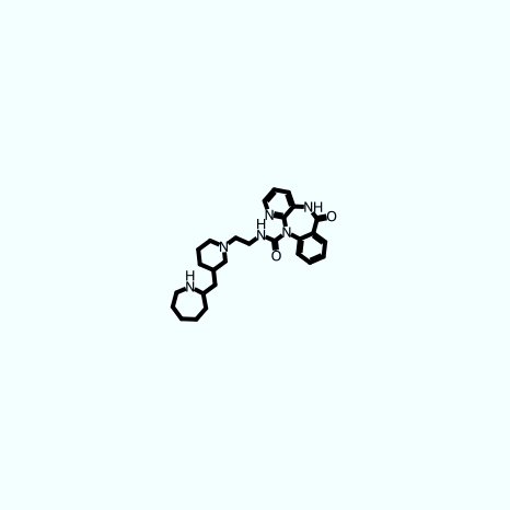 O=C1Nc2cccnc2N(C(=O)NCCN2CCCC(CC3CCCCCN3)C2)c2ccccc21